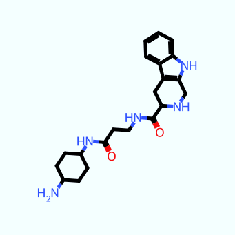 NC1CCC(NC(=O)CCNC(=O)C2Cc3c([nH]c4ccccc34)CN2)CC1